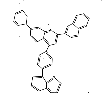 C1=CCC(c2ccc3c(-c4ccc(-c5cccc6cccnc56)cc4)cc(-c4ccc5ccccc5c4)nc3c2)C=C1